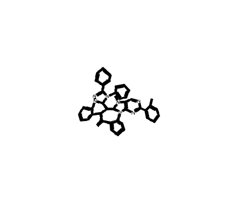 C=C1c2ccccc2N2c3nc(-c4ccccc4C)ncc3N(C)C2C2C1c1ccccc1N1N=C(c3ccccc3)N(c3ccccc3)C21